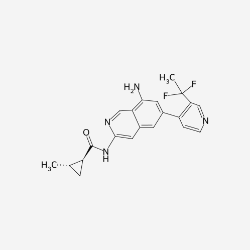 C[C@H]1C[C@@H]1C(=O)Nc1cc2cc(-c3ccncc3C(C)(F)F)cc(N)c2cn1